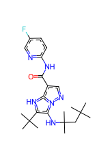 CC(C)(C)CC(C)(C)Nc1c(C(C)(C)C)[nH]c2c(C(=O)Nc3ccc(F)cn3)cnn12